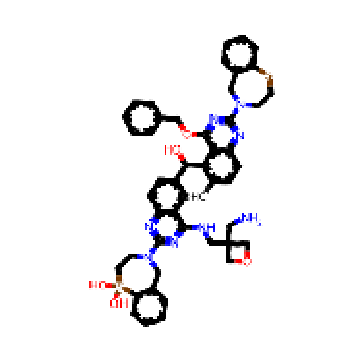 NCC1(CNc2nc(N3CCS(O)(O)c4ccccc4C3)nc3ccc(C(O)c4c(C=O)ccc5nc(N6CCSc7ccccc7C6)nc(OCc6ccccc6)c45)cc23)COC1